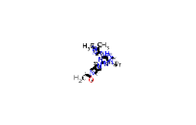 C=CC(=O)N1CC2CN(c3nc(Nc4cnn(C)c4C)c4ncn(C(C)C)c4n3)CC2C1